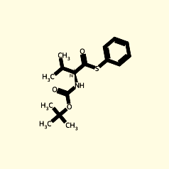 CC(C)[C@H](NC(=O)OC(C)(C)C)C(=O)Sc1ccccc1